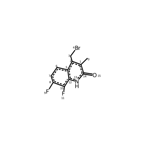 Cc1c(CBr)c2ccc(F)c(F)c2[nH]c1=O